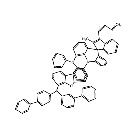 C=C/C=C\C1=C(C)C2(c3ccccc31)c1ccccc1N(c1ccccc1)c1c(N(c3ccccc3)c3cccc4oc5c(N(c6ccc(-c7ccccc7)cc6)c6cccc(-c7ccccc7)c6)cccc5c34)cccc12